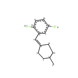 CC1CCC(=Cc2cc(F)ccc2F)CC1